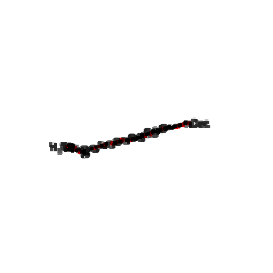 CCCCCCCCCCCCCCCCCCOCCOCCOCCOCCOCCOCCOCCOCCOCCOCCOC(=O)CCN1CCN(C)CC1